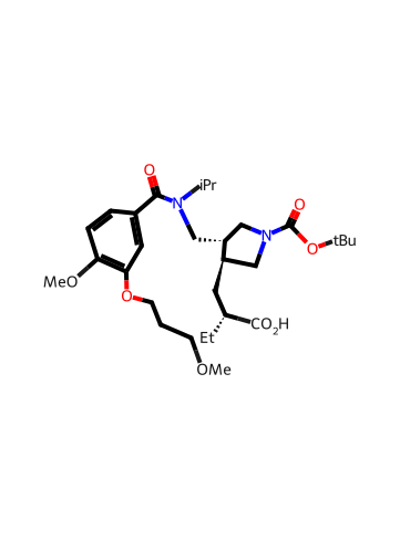 CC[C@H](C[C@@H]1CN(C(=O)OC(C)(C)C)C[C@H]1CN(C(=O)c1ccc(OC)c(OCCCOC)c1)C(C)C)C(=O)O